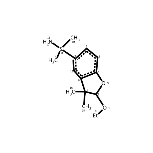 CCOC1Oc2ccc(S(C)(C)N)cc2C1(C)C